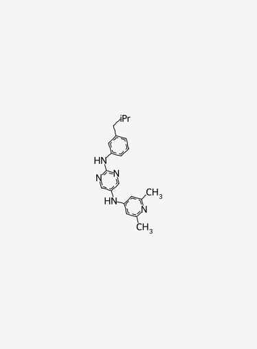 Cc1cc(Nc2cnc(Nc3cccc(CC(C)C)c3)nc2)cc(C)n1